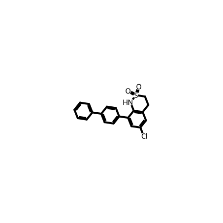 O=S1(=O)CCc2cc(Cl)cc(-c3ccc(-c4ccccc4)cc3)c2N1